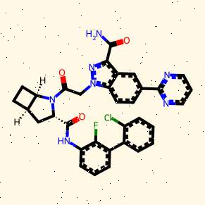 NC(=O)c1nn(CC(=O)N2[C@@H]3CC[C@@H]3C[C@H]2C(=O)Nc2cccc(-c3ccccc3Cl)c2F)c2ccc(-c3ncccn3)cc12